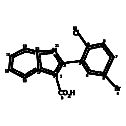 O=C(O)n1c(-c2cc(Br)ccc2Cl)nc2ccccc21